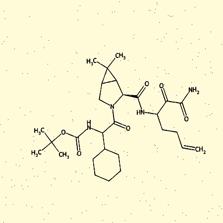 C=CCCC(NC(=O)[C@@H]1C2C(CN1C(=O)C(NC(=O)OC(C)(C)C)C1CCCCC1)C2(C)C)C(=O)C(N)=O